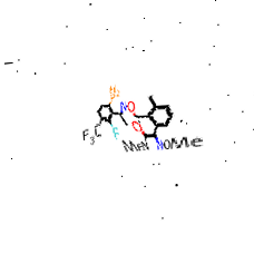 CNC(=O)/C(=N/OC)c1cccc(C)c1CO/N=C(\C)c1c(P)ccc(C(F)(F)F)c1F